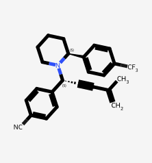 C=C(C)C#C[C@H](c1ccc(C#N)cc1)N1CC[CH]C[C@H]1c1ccc(C(F)(F)F)cc1